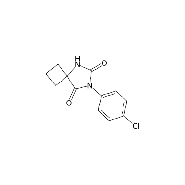 O=C1NC2(CCC2)C(=O)N1c1ccc(Cl)cc1